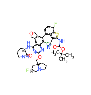 CC(C)(C)OC(=O)Nc1sc2c(F)ccc(-c3c4c(c5c(N[C@@H]6CCCNC6=O)nc(OC[C@@]67CCCN6C[C@H](F)C7)nc5c3Cl)COC4)c2c1C#N